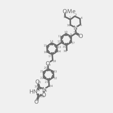 COCC1CCCN(C(=O)c2ccc(-c3cccc(COc4ccc(Cn5oc(=O)[nH]c5=O)cc4)c3)c(C)c2)C1